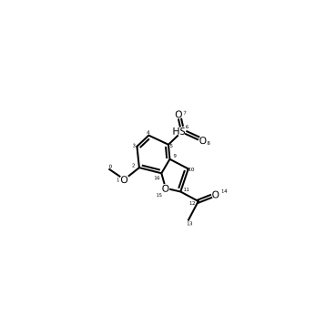 COc1ccc([SH](=O)=O)c2cc(C(C)=O)oc12